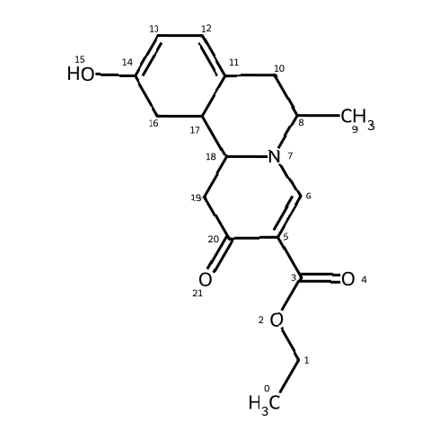 CCOC(=O)C1=CN2C(C)CC3=CC=C(O)CC3C2CC1=O